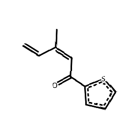 C=CC(C)=CC(=O)c1cccs1